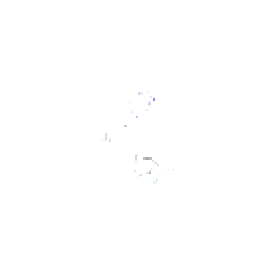 CCCCSC(CCn1ccnc1)c1ccc(Cl)c(Cl)c1